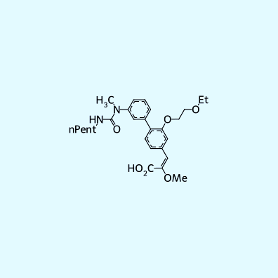 CCCCCNC(=O)N(C)c1cccc(-c2ccc(C=C(OC)C(=O)O)cc2OCCOCC)c1